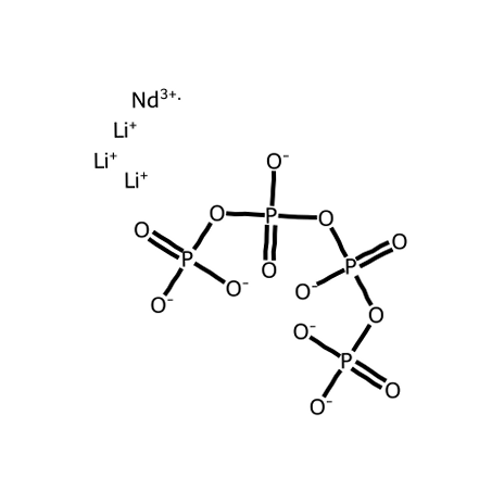 O=P([O-])([O-])OP(=O)([O-])OP(=O)([O-])OP(=O)([O-])[O-].[Li+].[Li+].[Li+].[Nd+3]